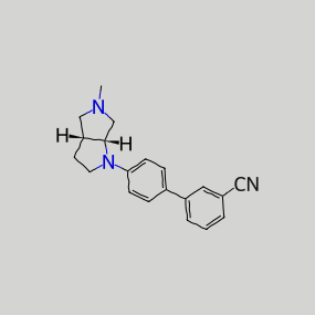 CN1C[C@H]2CCN(c3ccc(-c4cccc(C#N)c4)cc3)[C@H]2C1